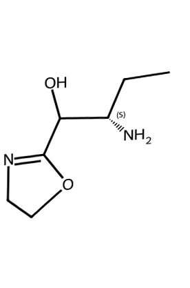 CC[C@H](N)C(O)C1=NCCO1